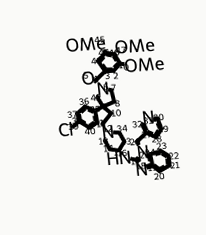 COc1cc(C(=O)N2CCC(CCN3CCC(Nc4nc5ccccc5n4Cc4cccnc4)CC3)(c3ccc(Cl)cc3)C2)cc(OC)c1OC